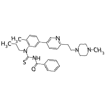 CCCN(C(=S)NC(=O)c1ccccc1)c1cc(-c2ccc(CCN3CCN(C)CC3)nc2)ccc1C